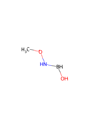 CONBO